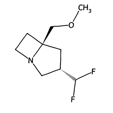 COC[C@]12CCN1C[C@@H](C(F)F)C2